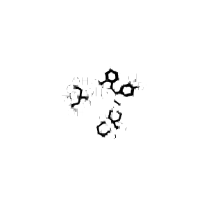 CNC(=O)C1(N2CCCCC2=O)CCN(CC[C@@H](c2ccc(Br)c(Cl)c2)[C@@H]2c3ccccc3C(=O)N2C)CC1.O=C(O)CC(O)(CC(=O)O)C(=O)O